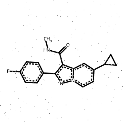 CNC(=O)c1c(-c2ccc(F)cc2)nn2ccc(C3CC3)cc12